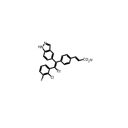 CCC(=C(c1ccc(C=CC(=O)O)cc1)c1ccc2[nH]ncc2c1)c1cccc(F)c1Cl